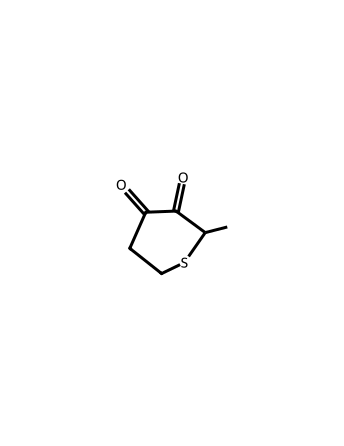 CC1SCCC(=O)C1=O